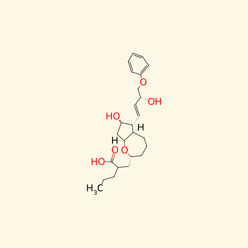 CCCC(C[C@H]1CCC[C@@H]2[C@@H](C=C[C@@H](O)COc3ccccc3)[C@H](O)C[C@@H]2O1)C(=O)O